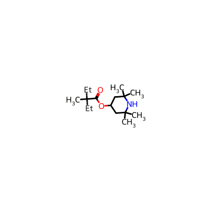 CCC(C)(CC)C(=O)OC1CC(C)(C)NC(C)(C)C1